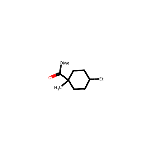 CCC1CCC(C)(C(=O)OC)CC1